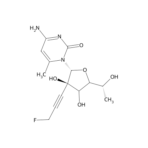 Cc1cc(N)nc(=O)n1[C@@H]1OC([C@@H](C)O)C(O)[C@]1(O)C#CCF